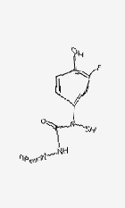 CCCCCNC(=O)N(S)c1ccc(O)c(F)c1